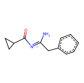 N/C(Cc1ccccc1)=N\C(=O)C1CC1